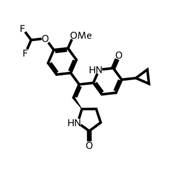 COc1cc(/C(=C/[C@H]2CCC(=O)N2)c2ccc(C3CC3)c(=O)[nH]2)ccc1OC(F)F